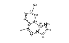 CC(=O)c1ccc(F)cc1-n1nccn1